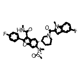 CNC(=O)c1c(-c2ccc(F)cc2)oc2cc(N(C)[S+](C)[O-])c([C@H]3CCCN(C(=O)c4cc5cc(F)ccc5n4C)C3)cc12